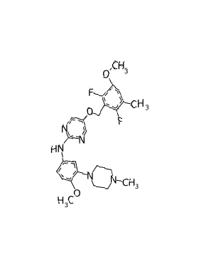 COc1ccc(Nc2ncc(OCc3c(F)c(C)cc(OC)c3F)cn2)cc1N1CCN(C)CC1